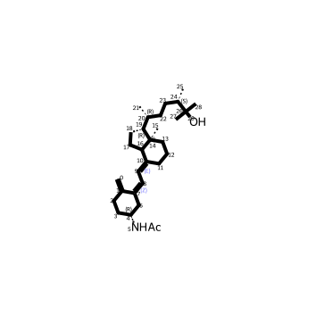 C=C1CC[C@@H](NC(C)=O)C/C1=C/C=C1\CCC[C@@]2(C)C1CC[C@@H]2[C@H](C)CC[C@H](C)C(C)(C)O